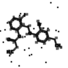 CCC(=O)Oc1cccc(I)c1COc1ccc(CC)cc1Br